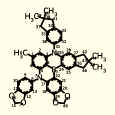 Cc1cc2c3c(c1)N(c1ccc4c(c1)OCO4)c1cc4c(cc1B3c1cc3c(cc1N2c1ccc2c(c1)CC(C)(C)C2)CC(C)(C)C3)OCO4